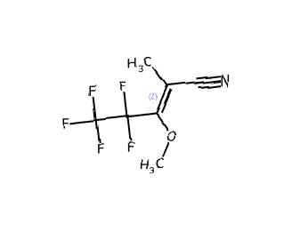 CO/C(=C(/C)C#N)C(F)(F)C(F)(F)F